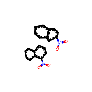 O=[N+]([O-])c1ccc2ccccc2c1.O=[N+]([O-])c1cccc2ccccc12